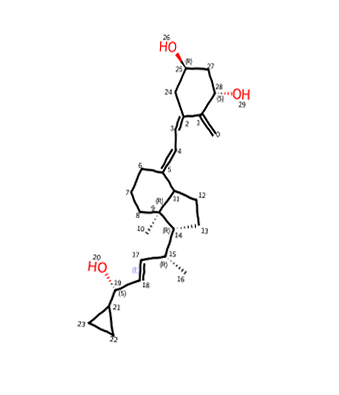 C=C1C(=CC=C2CCC[C@@]3(C)C2CC[C@@H]3[C@H](C)/C=C/[C@@H](O)C2CC2)C[C@@H](O)C[C@@H]1O